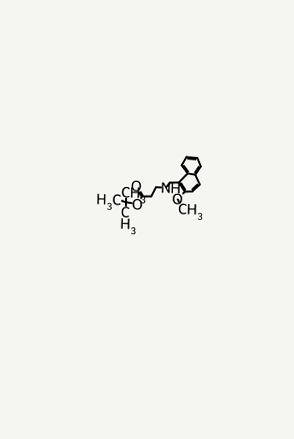 COc1ccc2ccccc2c1CNCCC(=O)OC(C)(C)C